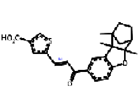 CC12CCC(C1)C1(C)Oc3ccc(C(=O)/C=C/c4cc(C(=O)O)cs4)cc3C21C